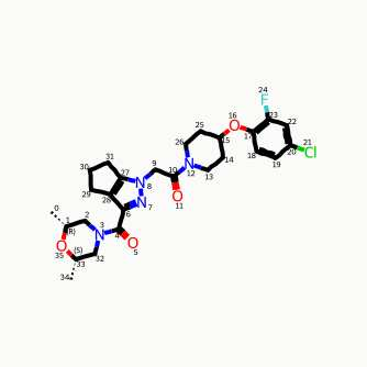 C[C@@H]1CN(C(=O)c2nn(CC(=O)N3CCC(Oc4ccc(Cl)cc4F)CC3)c3c2CCC3)C[C@H](C)O1